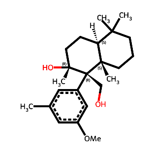 COc1cc(C)cc([C@@]2(CO)[C@@]3(C)CCCC(C)(C)[C@@H]3CC[C@@]2(C)O)c1